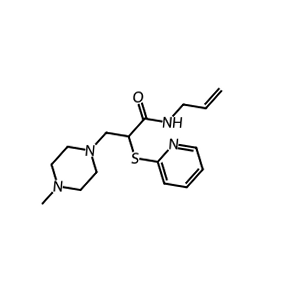 C=CCNC(=O)C(CN1CCN(C)CC1)Sc1ccccn1